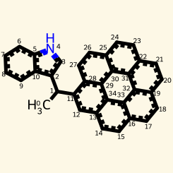 CC(c1c[nH]c2ccccc12)c1cc2ccc3ccc4ccc5ccc6ccc1c1c6c5c4c3c21